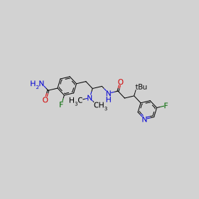 CN(C)C(CNC(=O)CC(c1cncc(F)c1)C(C)(C)C)Cc1ccc(C(N)=O)c(F)c1